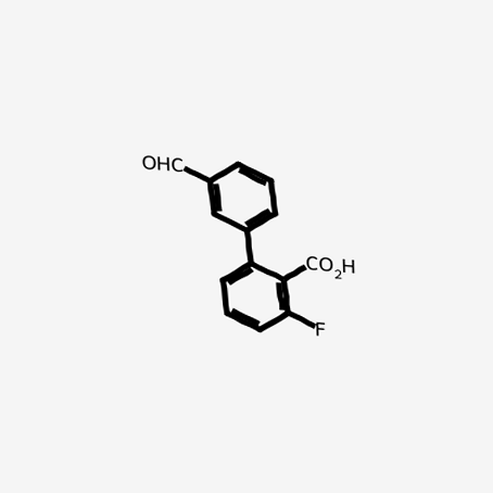 O=Cc1cccc(-c2cccc(F)c2C(=O)O)c1